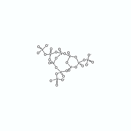 [O]=[V]([O-])([O-])[O][V]1(=[O])[O][V]2(=[O])[O][V](=[O])([O][V](=[O])([O-])[O-])[O][V](=[O])([O]2)[O][V]2(=[O])[O][V](=[O])([O][V](=[O])([O-])[O-])[O][V](=[O])([O]1)[O]2